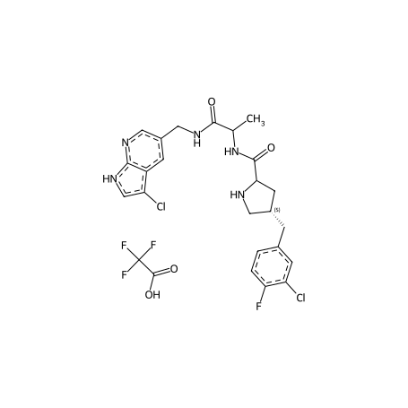 CC(NC(=O)C1C[C@H](Cc2ccc(F)c(Cl)c2)CN1)C(=O)NCc1cnc2[nH]cc(Cl)c2c1.O=C(O)C(F)(F)F